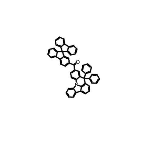 O=C(c1ccc2c(c1)C1(c3ccccc3-c3ccccc31)c1ccccc1-2)c1ccc2c(c1)C(c1ccccc1)(c1ccccc1)c1cccc3c4ccccc4n-2c13